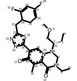 CC[C@@H](COC)N1CN(CC)C(=O)c2c(C)c(=O)c(-c3nnc(CC4CC=C(F)C=C4F)s3)cn21